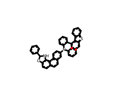 c1ccc(C2Nc3c(ccc4ccc5cc(N(c6ccccc6)c6ccccc6-c6cccc7sc8ccccc8c67)ccc5c34)O2)cc1